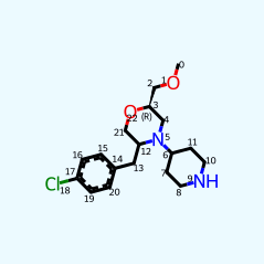 COC[C@H]1CN(C2CCNCC2)C(Cc2ccc(Cl)cc2)CO1